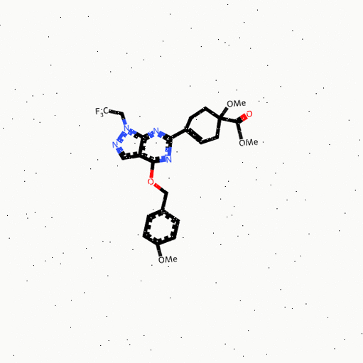 COC(=O)C1(OC)CC=C(c2nc(OCc3ccc(OC)cc3)c3cnn(CC(F)(F)F)c3n2)CC1